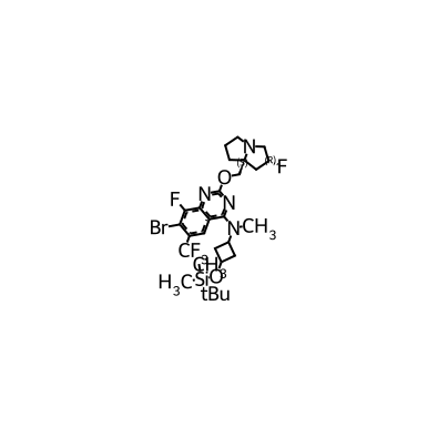 CN(c1nc(OC[C@@]23CCCN2C[C@H](F)C3)nc2c(F)c(Br)c(C(F)(F)F)cc12)C1CC(O[Si](C)(C)C(C)(C)C)C1